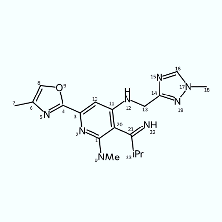 CNc1nc(-c2nc(C)co2)cc(NCc2ncn(C)n2)c1C(=N)C(C)C